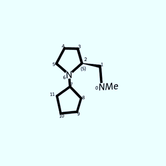 CNC[C@@H]1CCCN1C1CCCC1